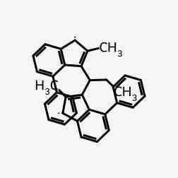 CCC(C1=C(C)[CH]c2cccc(-c3ccccc3)c21)C1=C(C)[CH]c2cccc(-c3ccccc3)c21